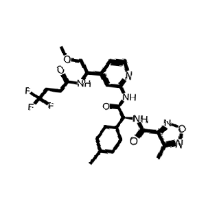 COCC(NC(=O)CCC(F)(F)F)c1ccnc(NC(=O)[C@@H](NC(=O)c2nonc2C)C2CCC(C)CC2)c1